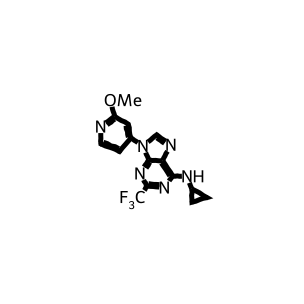 COc1cc(-n2cnc3c(NC4CC4)nc(C(F)(F)F)nc32)ccn1